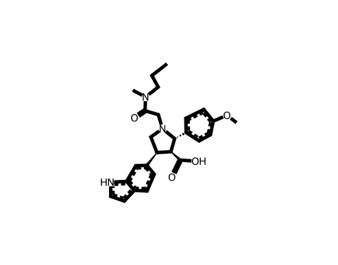 CCCN(C)C(=O)CN1C[C@H](c2ccc3cc[nH]c3c2)[C@H](C(=O)O)[C@H]1c1ccc(OC)cc1